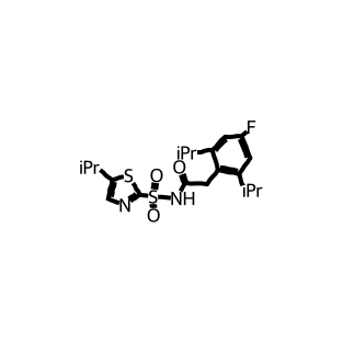 CC(C)c1cnc(S(=O)(=O)NC(=O)Cc2c(C(C)C)cc(F)cc2C(C)C)s1